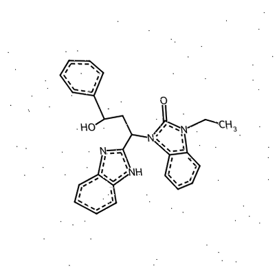 CCn1c(=O)n(C(CC(O)c2ccccc2)c2nc3ccccc3[nH]2)c2ccccc21